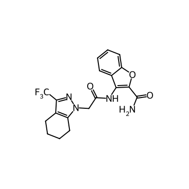 NC(=O)c1oc2ccccc2c1NC(=O)Cn1nc(C(F)(F)F)c2c1CCCC2